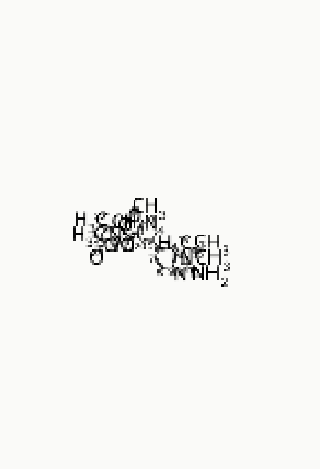 COc1ncc(-c2ccc3nc(N)n(C(C)(C)C)c3c2)cc1S(=O)(=O)N(OC=O)C(C)(C)C